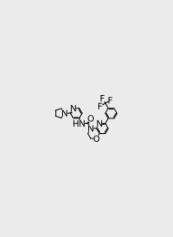 O=C(Nc1ccnc(N2CCCC2)c1)N1CCOc2ccc(-c3cccc(C(F)(F)F)c3)nc21